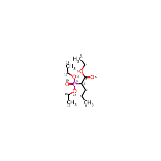 CCCC(C(=O)OCC)P(=O)(OCC)OCC